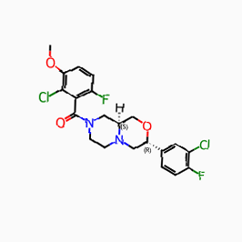 COc1ccc(F)c(C(=O)N2CCN3C[C@@H](c4ccc(F)c(Cl)c4)OC[C@@H]3C2)c1Cl